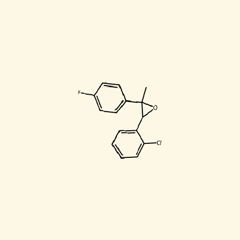 CC1(c2ccc(F)cc2)OC1c1ccccc1Cl